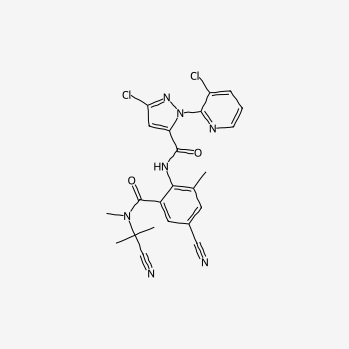 Cc1cc(C#N)cc(C(=O)N(C)C(C)(C)C#N)c1NC(=O)c1cc(Cl)nn1-c1ncccc1Cl